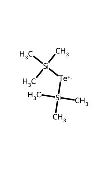 C[Si](C)(C)[Te+][Si](C)(C)C